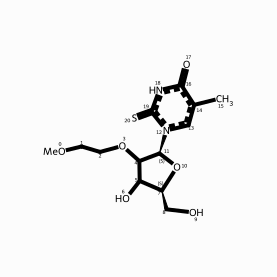 COCCOC1C(O)[C@H](CO)O[C@@H]1n1cc(C)c(=O)[nH]c1=S